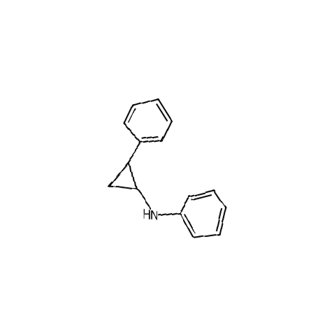 c1ccc(NC2CC2c2ccccc2)cc1